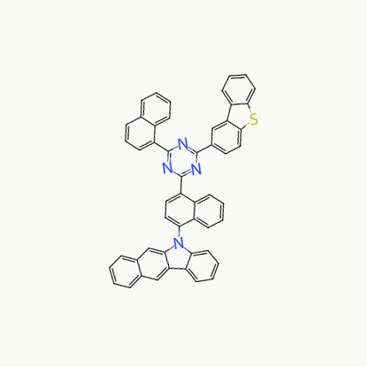 c1ccc2cc3c(cc2c1)c1ccccc1n3-c1ccc(-c2nc(-c3ccc4sc5ccccc5c4c3)nc(-c3cccc4ccccc34)n2)c2ccccc12